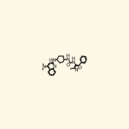 Cc1noc(-c2ccccc2)c1NC(=O)NC1CCC(Nc2cc(N(C)C)c3ccccc3n2)CC1